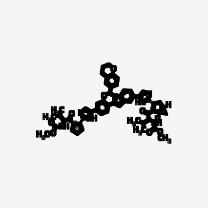 COC(=O)N[C@H](C(=O)N1CCC[C@H]1c1ncc(-c2ccc3c(c2)OC(c2ccc4c(c2)CCCO4)n2c-3cc3cc(-c4cnc([C@@H]5C[C@H]6C[C@H]6N5C(=O)[C@@H](NC(=O)OC)C(C)C)[nH]4)ccc32)[nH]1)C(C)C